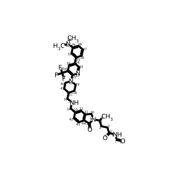 CC(CCC(=O)NC=O)N1Cc2cc(CNCC3CCN(c4ncc(-c5cccc(N(C)C)c5)cc4C(F)(F)F)CC3)ccc2C1=O